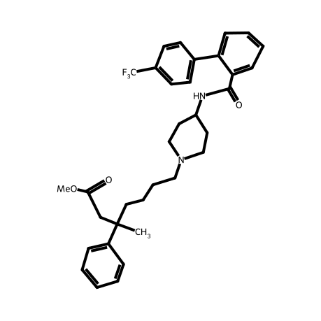 COC(=O)CC(C)(CCCCN1CCC(NC(=O)c2ccccc2-c2ccc(C(F)(F)F)cc2)CC1)c1ccccc1